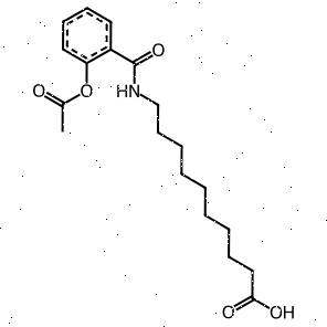 CC(=O)Oc1ccccc1C(=O)NCCCCCCCCCC(=O)O